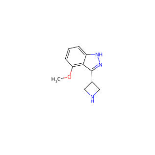 COc1cccc2[nH]nc(C3CNC3)c12